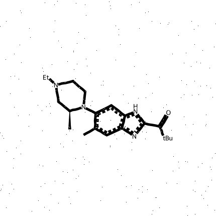 CCN1CCN(c2cc3[nH]c(C(=O)C(C)(C)C)nc3cc2C)[C@@H](C)C1